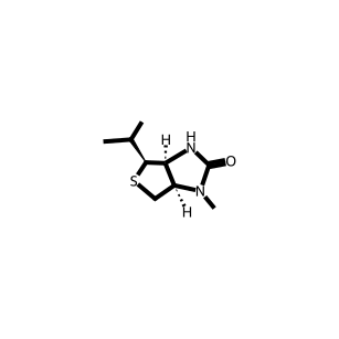 CC(C)[C@@H]1SC[C@H]2[C@@H]1NC(=O)N2C